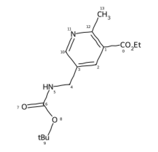 CCOC(=O)c1cc(CNC(=O)OC(C)(C)C)cnc1C